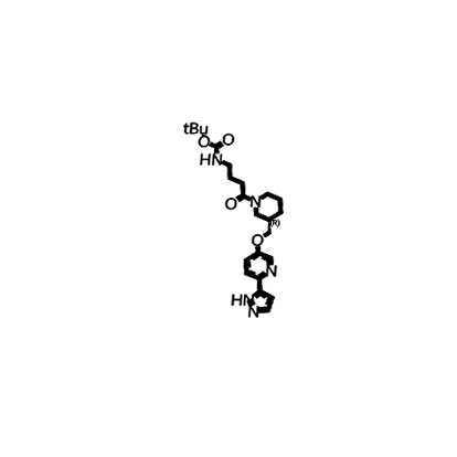 CC(C)(C)OC(=O)NCCCC(=O)N1CCC[C@@H](COc2ccc(-c3ccn[nH]3)nc2)C1